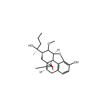 CCC[C@](C)(O)[C@@H]1C[C@@]2(CC)[C@@H]3Cc4ccc(O)c5c4[C@]2(CCN3C)[C@H](O5)C1OC